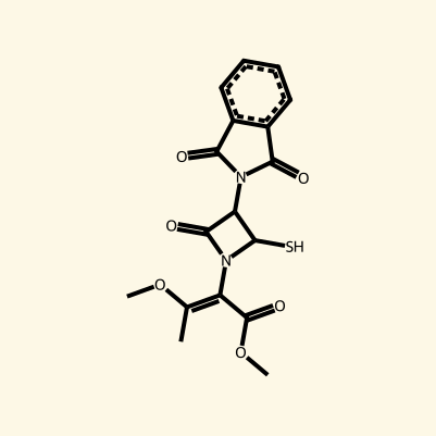 COC(=O)C(=C(C)OC)N1C(=O)C(N2C(=O)c3ccccc3C2=O)C1S